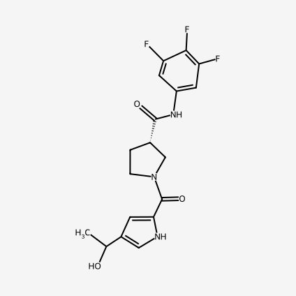 CC(O)c1c[nH]c(C(=O)N2CC[C@H](C(=O)Nc3cc(F)c(F)c(F)c3)C2)c1